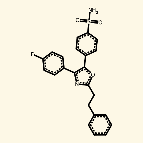 NS(=O)(=O)c1ccc(-c2oc(CCc3ccccc3)nc2-c2ccc(F)cc2)cc1